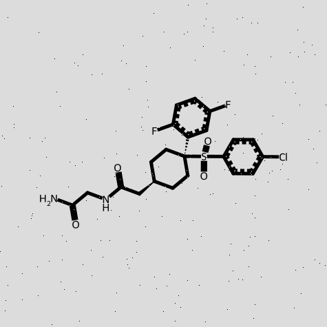 NC(=O)CNC(=O)C[C@H]1CC[C@@](c2cc(F)ccc2F)(S(=O)(=O)c2ccc(Cl)cc2)CC1